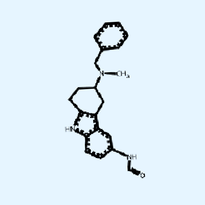 CN(Cc1ccccc1)C1CCc2[nH]c3ccc(NC=O)cc3c2C1